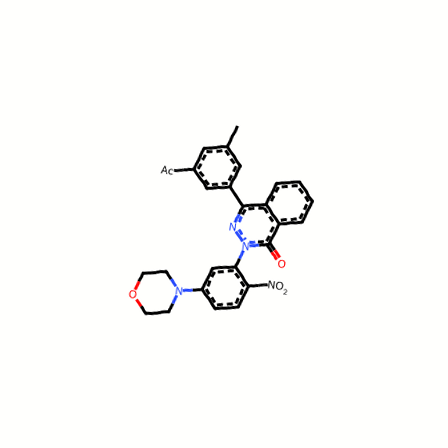 CC(=O)c1cc(C)cc(-c2nn(-c3cc(N4CCOCC4)ccc3[N+](=O)[O-])c(=O)c3ccccc23)c1